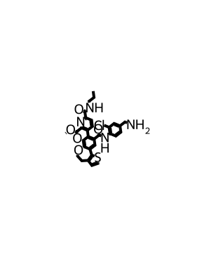 CCCNC(=O)c1ccc(-c2cc3c(cc2C(=O)Nc2ccc(CN)cc2Cl)-c2sccc2CCO3)c(C(=O)OC)n1